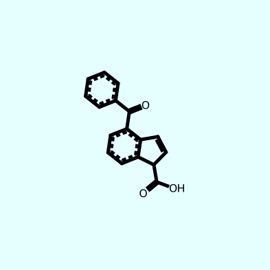 O=C(c1ccccc1)c1cccc2c1C=CC2C(=O)O